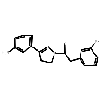 Nc1cccc(C2=NN(C(=O)Cc3cccc(Br)c3)CC2)c1